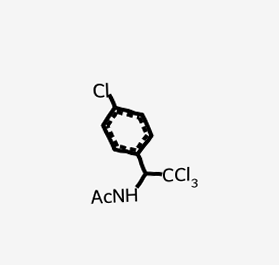 CC(=O)NC(c1ccc(Cl)cc1)C(Cl)(Cl)Cl